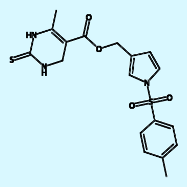 CC1=C(C(=O)OCc2ccn(S(=O)(=O)c3ccc(C)cc3)c2)CNC(=S)N1